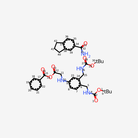 CC(C)(C)OC(=O)NCc1ccc(NCC(=O)OC(=O)c2ccccc2)cc1CNC(=O)OC(C)(C)C.NC(=O)c1ccc2c(c1)CCC2